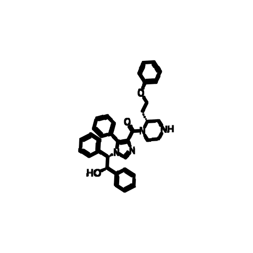 O=C(c1ncn([C@@H](c2ccccc2)[C@H](O)c2ccccc2)c1-c1ccccc1)N1CCNC[C@H]1CCOc1ccccc1